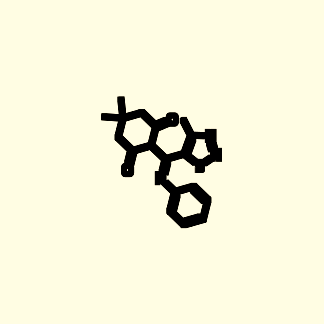 Cc1nnsc1C(=Nc1ccccc1)C1C(=O)CC(C)(C)CC1=O